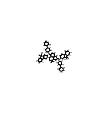 CC1(C)CCc2c(N(C3=CC4=C(CC3)c3ccccc3C4(C)C)C3C=CC(c4ccccc4)=CC3)ccc3c2C1=CC(N(C1C=CC2C4C=CC=CC4C(C)(C)C2C1)C1CC=C(C2=CCCCC2)CC1)C3